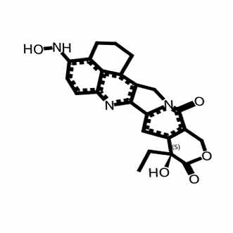 CC[C@@]1(O)C(=O)OCc2c1cc1n(c2=O)Cc2c-1nc1ccc(NO)c3c1c2CCC3